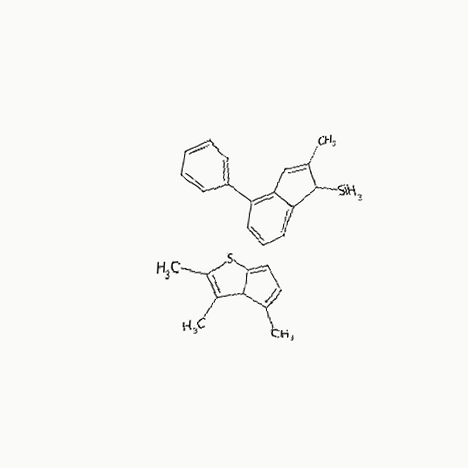 CC1=CC=C2SC(C)=C(C)C12.CC1=Cc2c(-c3ccccc3)cccc2C1[SiH3]